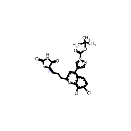 CC(C)(C)OC(=O)n1cc(-c2cc(CC/C=C3/SC(=O)NC3=O)nc3c(Cl)c(Cl)ccc23)cn1